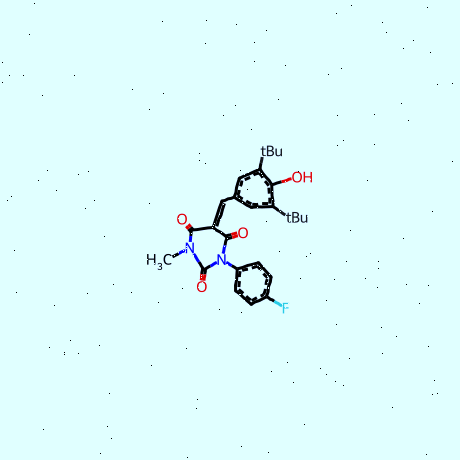 CN1C(=O)/C(=C/c2cc(C(C)(C)C)c(O)c(C(C)(C)C)c2)C(=O)N(c2ccc(F)cc2)C1=O